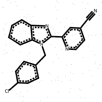 N#Cc1ccnc(-c2nc3ccccc3n2Cc2ccc(Cl)cc2)c1